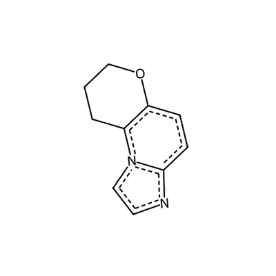 c1cn2c3c(ccc2n1)OCCC3